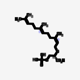 CC(C)=CCC/C(C)=C/CC/C(C)=C\CO[C@@H](COP(=O)(O)O)C(=O)O